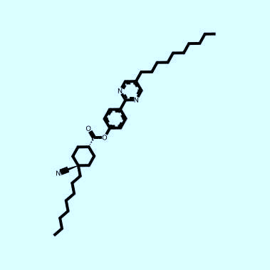 CCCCCCCCCCc1cnc(-c2ccc(OC(=O)[C@H]3CC[C@@](C#N)(CCCCCCCC)CC3)cc2)nc1